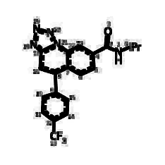 CC(C)NC(=O)c1ccc2c(-c3ccc(C(F)(F)F)cc3)cc3nnnn3c2c1